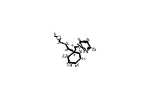 COCCCC1(Cn2cccn2)CCCCC1